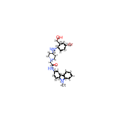 CCn1c2ccccc2c2cc(NC(=O)CN3CCC(Nc4ccc(Br)cc4CO)CC3)ccc21